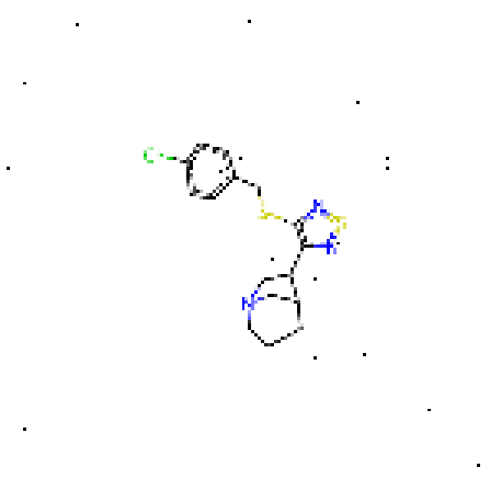 Clc1ccc(CSc2nsnc2C2CN3CCCC2C3)cc1